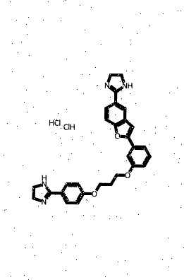 Cl.Cl.c1cc(OCCCOc2ccc(C3=NCCN3)cc2)cc(-c2cc3cc(C4=NCCN4)ccc3o2)c1